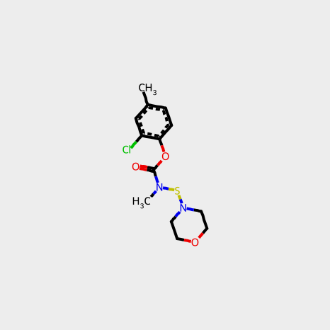 Cc1ccc(OC(=O)N(C)SN2CCOCC2)c(Cl)c1